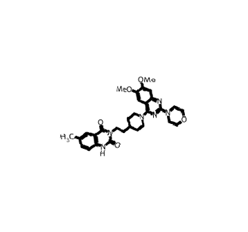 COc1cc2nc(N3CCOCC3)nc(N3CCC(CCn4c(=O)[nH]c5ccc(C)cc5c4=O)CC3)c2cc1OC